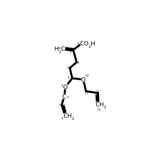 C=CCOC(CCC(=C)C(=O)O)OCC=C